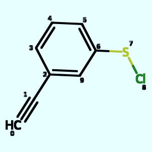 C#Cc1cccc(SCl)c1